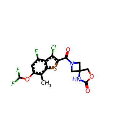 Cc1c(OC(F)F)cc(F)c2c(Cl)c(C(=O)N3CC4(COC(=O)N4)C3)sc12